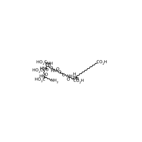 NCCCC[C@H](NC(=O)CC[C@H](NC(=O)C1C[C@@H](C(=O)O)NOC1COCCNC(=O)COCCOCCNC(=O)CC[C@H](NC(=O)CCCCCCCCCCCCCCCCC(=O)O)C(=O)O)C(=O)O)C(=O)O